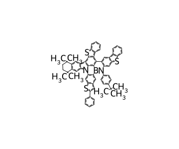 CC(C)(C)c1ccc(N2B3c4cc5cc(-c6ccccc6)sc5cc4-n4c5cc6c(cc5c5c7sc8ccccc8c7c(c3c54)-c3cc4c(cc32)sc2ccccc24)C(C)(C)CCC6(C)C)cc1